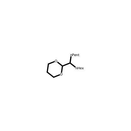 CCCCCCC(CCCCC)C1OCCCO1